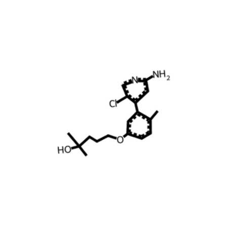 Cc1ccc(OCCCC(C)(C)O)cc1-c1cc(N)ncc1Cl